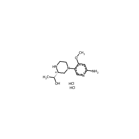 COc1cc(N)ncc1N1CCN[C@@H](C(C)O)C1.Cl.Cl